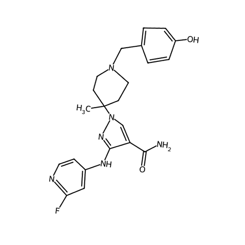 CC1(n2cc(C(N)=O)c(Nc3ccnc(F)c3)n2)CCN(Cc2ccc(O)cc2)CC1